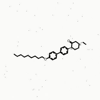 CCCCCCCCCOc1ccc(-c2ccc([C@@H]3CC[C@@H](CC)CC3=O)cc2)cc1